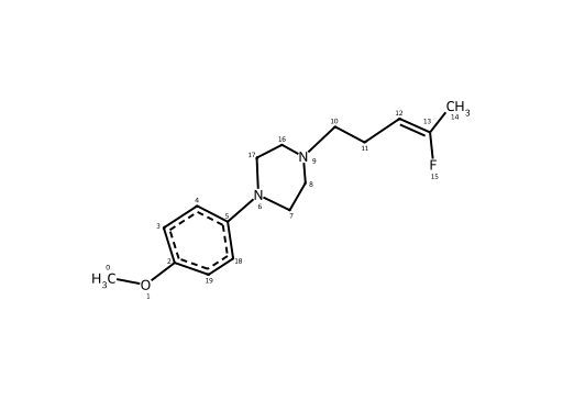 COc1ccc(N2CCN(CC/C=C(/C)F)CC2)cc1